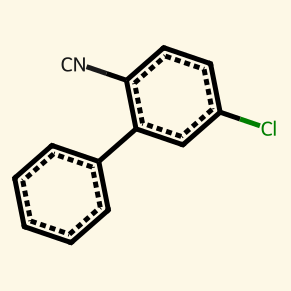 [C-]#[N+]c1ccc(Cl)cc1-c1ccccc1